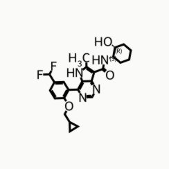 Cc1[nH]c2c(-c3cc(C(F)F)ccc3OCC3CC3)ncnc2c1C(=O)N[C@H]1CCCC[C@H]1O